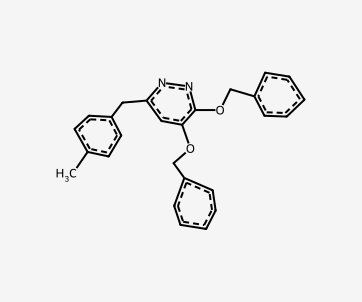 Cc1ccc(Cc2cc(OCc3ccccc3)c(OCc3ccccc3)nn2)cc1